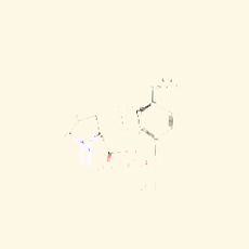 CCCCO[C@@]1(C(=O)OP(=O)(Cl)Oc2ccc(OC)cc2)CCCN1